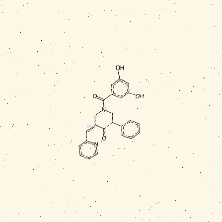 O=C1/C(=C\c2ccccn2)CN(C(=O)c2cc(O)cc(O)c2)CC1c1ccccc1